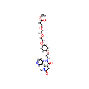 CN1C(=O)C[C@H](C(=O)NCCOC2CCC(OCCOCCOCCC(=O)OC(C)(C)C)CC2)[C@H]1c1cccnc1